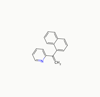 C=C(c1ccccn1)c1cccc2ccccc12